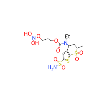 CCN(C(=O)OCCCON(O)O)[C@H]1CC(C)S(=O)(=O)c2sc(S(N)(=O)=O)cc21